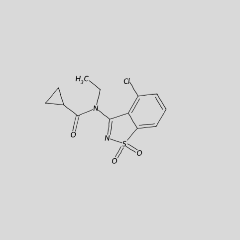 CCN(C(=O)C1CC1)C1=NS(=O)(=O)c2cccc(Cl)c21